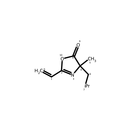 C=CC1=NC(C)(CC(C)C)C(=O)O1